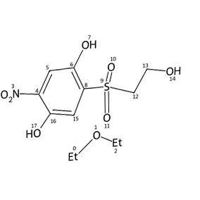 CCOCC.O=[N+]([O-])c1cc(O)c(S(=O)(=O)CCO)cc1O